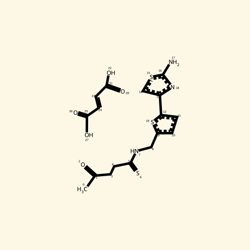 CC(=O)CCC(=S)NCc1ccc(-c2csc(N)n2)s1.O=C(O)C=CC(=O)O